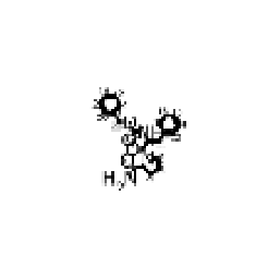 NC(=O)[C@@H]1CCCN1C(=O)C(Cc1ccccc1)NC(=O)OCc1ccccc1